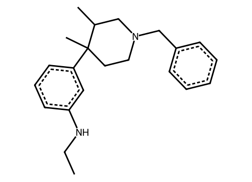 CCNc1cccc(C2(C)CCN(Cc3ccccc3)CC2C)c1